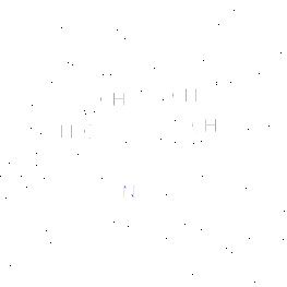 CC(C)c1cc(C(C)C)c2ccncc2c1